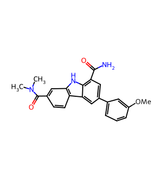 COc1cccc(-c2cc(C(N)=O)c3[nH]c4cc(C(=O)N(C)C)ccc4c3c2)c1